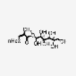 CCCCCCC=C(C)C(=O)OC(O)[C@H](O)[C@@H](O)[C@H](O)[C@H](O)CO